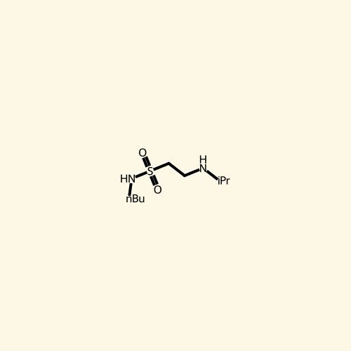 CCCCNS(=O)(=O)CCNC(C)C